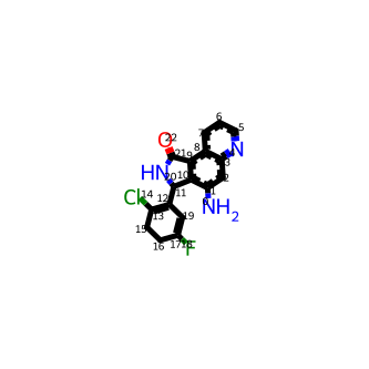 Nc1cc2ncccc2c2c1C(C1=C(Cl)CCC(F)=C1)NC2=O